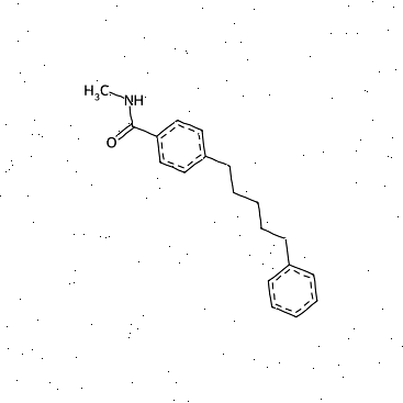 CNC(=O)c1ccc(CCCCCc2ccccc2)cc1